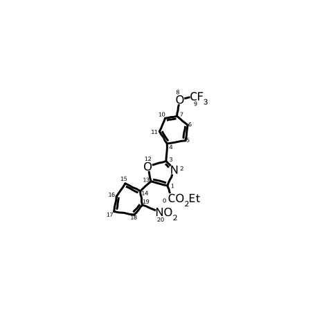 CCOC(=O)c1nc(-c2ccc(OC(F)(F)F)cc2)oc1-c1ccccc1[N+](=O)[O-]